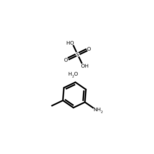 Cc1cccc(N)c1.O.O=S(=O)(O)O